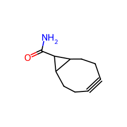 NC(=O)C1C2CCC#CCCC21